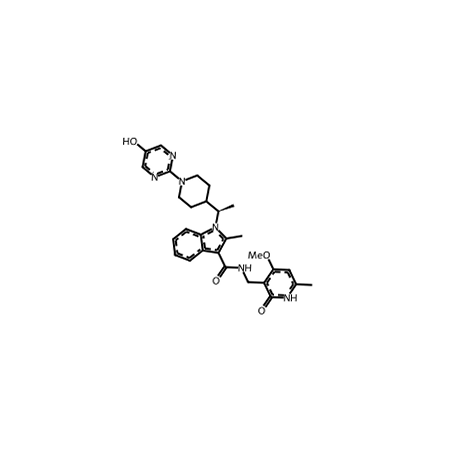 COc1cc(C)[nH]c(=O)c1CNC(=O)c1c(C)n([C@H](C)C2CCN(c3ncc(O)cn3)CC2)c2ccccc12